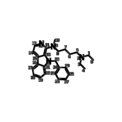 CCN(CC)CCCCN(C)c1nccc2c3ccccc3n(Cc3ccccc3)c12